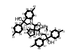 Cc1ccc(C(O)(c2ccc(C)cc2)[C@@H](CC(C)C)NC(=O)C2(C(=O)N[C@H](CC(C)C)C(O)(c3ccc(C)cc3)c3ccc(C)cc3)CCCC2)cc1